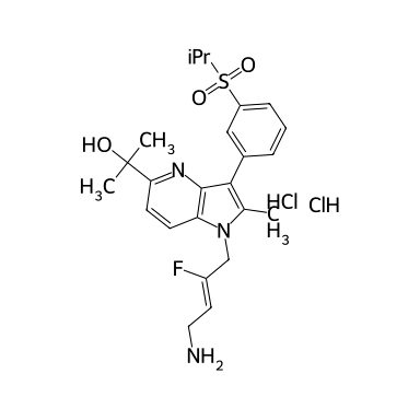 Cc1c(-c2cccc(S(=O)(=O)C(C)C)c2)c2nc(C(C)(C)O)ccc2n1CC(F)=CCN.Cl.Cl